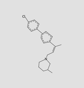 C/C(=C/CN1CCCC(C)C1)c1ccc(-c2ccc(Cl)cc2)cc1